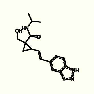 CC(C)NC(=O)C1(CO)CC1/C=C/c1ccc2[nH]ncc2c1